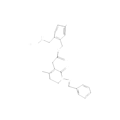 CC1=C(CC(=O)NCc2cc(Cl)ccc2CNC(=O)O)C(=O)N(NCc2ccccc2)CC1